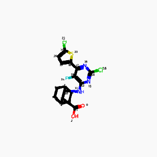 O=C(O)C1C2CCC(CC2)C1Nc1nc(Cl)nc(-c2ccc(Cl)s2)c1F